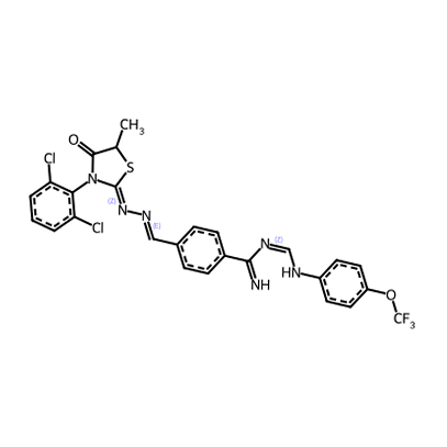 CC1S/C(=N\N=C\c2ccc(C(=N)/N=C\Nc3ccc(OC(F)(F)F)cc3)cc2)N(c2c(Cl)cccc2Cl)C1=O